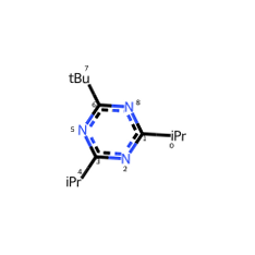 CC(C)c1nc(C(C)C)nc(C(C)(C)C)n1